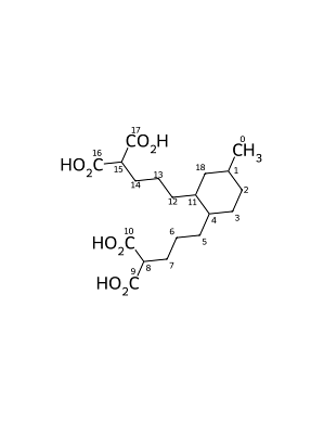 CC1CCC(CCCC(C(=O)O)C(=O)O)C(CCCC(C(=O)O)C(=O)O)C1